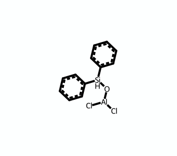 [Cl][Al]([Cl])[O][SiH](c1ccccc1)c1ccccc1